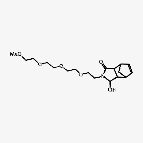 COCCOCCOCCOCCN1C(=O)C2C3C=CC(C3)C2C1O